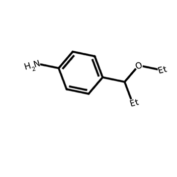 CCOC(CC)c1ccc(N)cc1